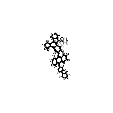 CC1(C)c2ccccc2-c2c1c1ccc(-c3c4ccccc4c(-c4ccc5c(c4)sc4ccccc45)c4ccccc34)cc1c1ccccc21